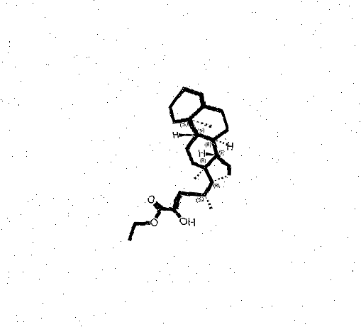 CCOC(=O)C(O)=C[C@@H](C)[C@H]1CC[C@H]2[C@@H]3CCC4CCCC[C@]4(C)[C@H]3CC[C@]12C